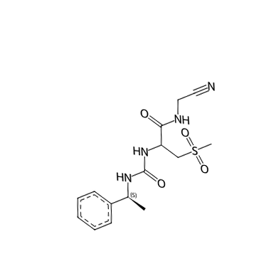 C[C@H](NC(=O)NC(CS(C)(=O)=O)C(=O)NCC#N)c1ccccc1